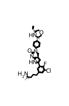 C=C[C@@H]1COC[C@H](c2ccc(-n3cc4cc(-c5cc(CCC[C@H](C)N)cc(Cl)c5F)[nH]c4nc3=O)cc2)N1